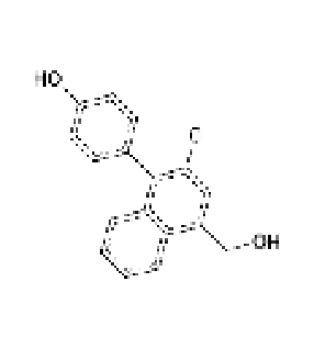 OCc1cc(Cl)c(-c2ccc(O)cc2)c2ccccc12